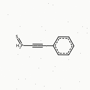 S=[PH2]C#Cc1ccccc1